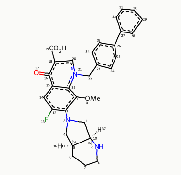 COc1c(N2C[C@@H]3CCCN[C@@H]3C2)c(F)cc2c(=O)c(C(=O)O)cn(Cc3ccc(-c4ccccc4)cc3)c12